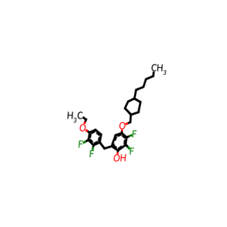 CCCCCC1CCC(COc2cc(Cc3ccc(OCC)c(F)c3F)c(O)c(F)c2F)CC1